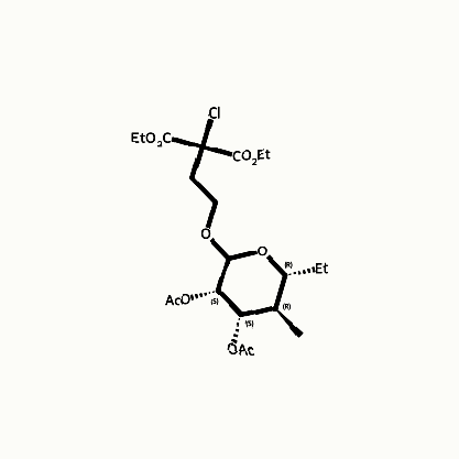 CCOC(=O)C(Cl)(CCOC1O[C@H](CC)[C@@H](C)[C@H](OC(C)=O)[C@@H]1OC(C)=O)C(=O)OCC